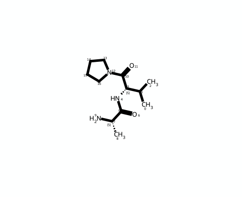 CC(C)[C@H](NC(=O)[C@H](C)N)C(=O)N1CCCC1